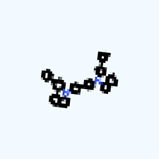 C1=CC(c2ccc(N(c3ccc(-c4ccc(N(c5ccc(-c6ccccc6)cc5)c5cccc6ccccc56)cc4)cc3)c3cccc4ccccc34)cc2)=CCC1